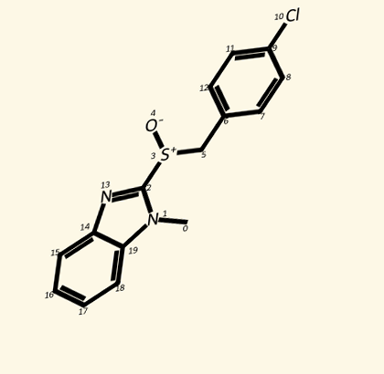 Cn1c([S+]([O-])Cc2ccc(Cl)cc2)nc2ccccc21